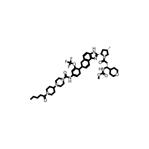 CCCCC(=O)N1CCC(N2CCN(C(=O)NC3=CCC(C4C=Cc5c(ccc6[nH]c([C@@H]7C[C@H](C)CN7C(=O)C[C@@H](NC(=O)OC)C7CCOCC7)nc56)C4)C(OC(F)(F)F)=C3)CC2)CC1